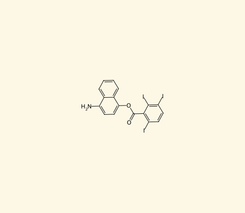 Nc1ccc(OC(=O)c2c(I)ccc(I)c2I)c2ccccc12